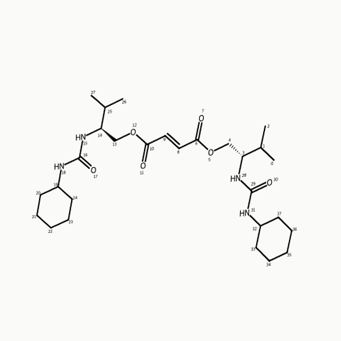 CC(C)[C@@H](COC(=O)/C=C/C(=O)OC[C@@H](NC(=O)NC1CCCCC1)C(C)C)NC(=O)NC1CCCCC1